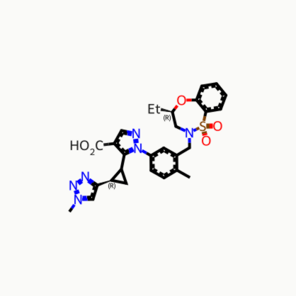 CC[C@@H]1CN(Cc2cc(-n3ncc(C(=O)O)c3C3C[C@H]3c3cn(C)nn3)ccc2C)S(=O)(=O)c2ccccc2O1